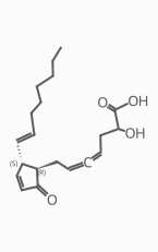 CCCCCCC=C[C@H]1C=CC(=O)[C@@H]1CC=C=CCC(O)C(=O)O